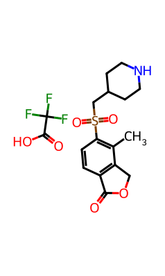 Cc1c(S(=O)(=O)CC2CCNCC2)ccc2c1COC2=O.O=C(O)C(F)(F)F